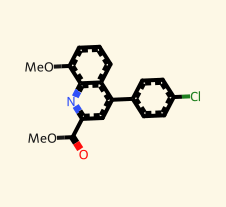 COC(=O)c1cc(-c2ccc(Cl)cc2)c2cccc(OC)c2n1